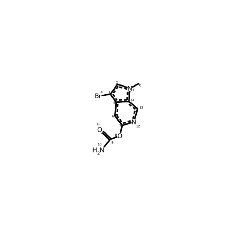 Cn1cc(Br)c2cc(OC(N)=O)ncc21